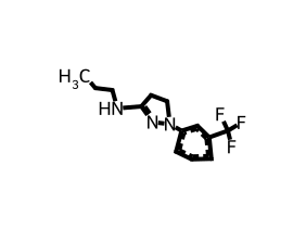 CCCNC1=NN(c2cccc(C(F)(F)F)c2)CC1